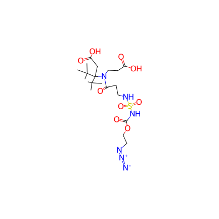 CC(C)(C)C(CC(=O)O)(N(CCC(=O)O)C(=O)CCNS(=O)(=O)NC(=O)OCCN=[N+]=[N-])C(C)(C)C